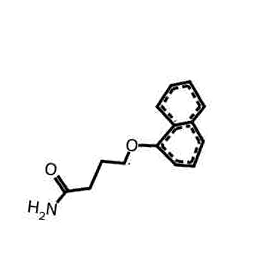 NC(=O)CC[CH]Oc1cccc2ccccc12